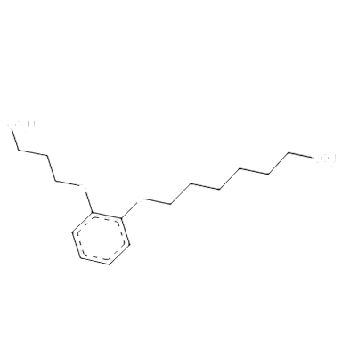 O=C(O)CCCCCCSc1ccccc1SCCCC(=O)O